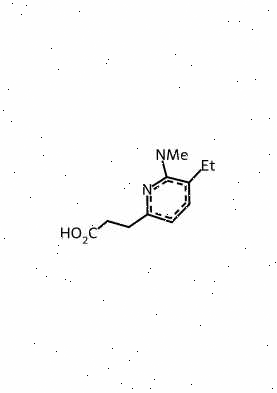 CCc1ccc(CCC(=O)O)nc1NC